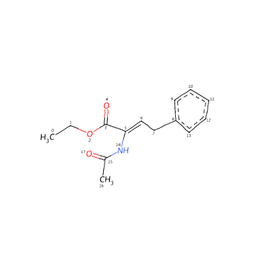 CCOC(=O)C(=CCc1ccccc1)NC(C)=O